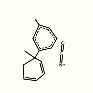 Cc1cccc(C2(C)C=CC=CC2)c1.N=C=O